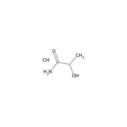 CC(O)C(N)=O.[CH]